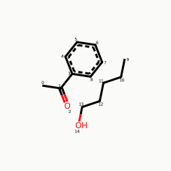 CC(=O)c1ccccc1.CCCCCO